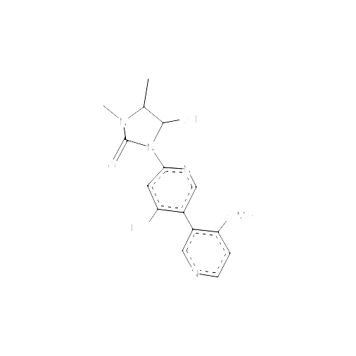 COc1ccncc1-c1cnc(N2C(=O)N(C)C(C)C2O)cc1C(F)(F)F